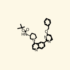 CC(C)(C)OC(=O)N[C@H]1CCCN(c2ccnc3ccc(-c4nccc(OCc5ccccc5)n4)cc23)C1